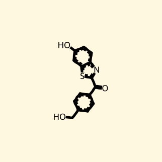 O=C(c1ccc(CO)cc1)c1nc2ccc(O)cc2s1